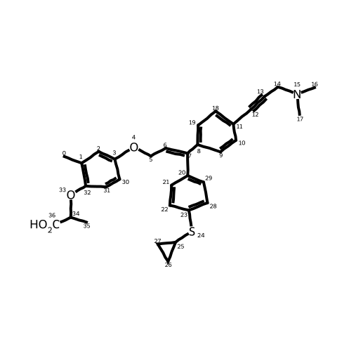 Cc1cc(OCC=C(c2ccc(C#CCN(C)C)cc2)c2ccc(SC3CC3)cc2)ccc1OC(C)C(=O)O